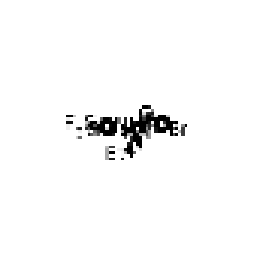 CC/C(C)=C/N=C1\C(=C(/C)Nc2ccc(OC(F)(F)F)cc2)C=C(C(=O)N2CCC(Br)CC2)N1C